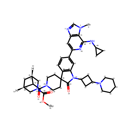 CC(C)n1cnc2cc(-c3ccc4c(c3)N(C3CC(N5CCCCC5)C3)C(=O)C43CCN(C(=O)C4[C@@H]5C[C@H]4CN(C(=O)OC(C)(C)C)C5)CC3)nc(NC3CC3)c21